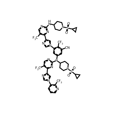 N#Cc1cc(N(c2ncc(C(F)(F)F)c(-c3cn(-c4cccnc4C(F)(F)F)cn3)n2)C2CCN(S(=O)(=O)C3CC3)CC2)cc(-n2cnc(-c3nc(NC4CCN(S(=O)(=O)C5CC5)CC4)ncc3C(F)(F)F)c2)c1C(F)(F)F